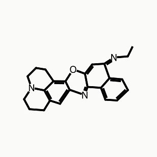 CC/N=c1/cc2oc3c4c5c(cc3nc-2c2ccccc12)CCCN5CCC4